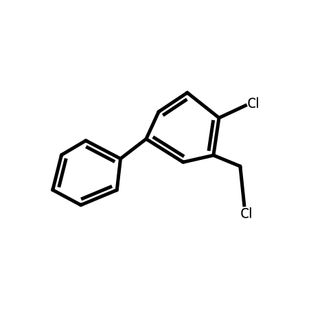 ClCc1cc(-c2ccccc2)ccc1Cl